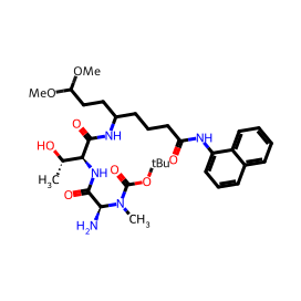 COC(CCC(CCCC(=O)Nc1cccc2ccccc12)NC(=O)[C@@H](NC(=O)[C@H](N)N(C)C(=O)OC(C)(C)C)[C@H](C)O)OC